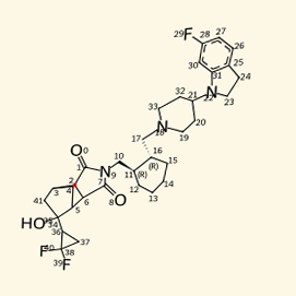 O=C1C2C3CC(C2C(=O)N1C[C@@H]1CCCC[C@H]1CN1CCC(N2CCc4ccc(F)cc42)CC1)C(O)(C1CC1(F)F)C3